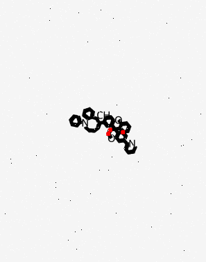 C=C1/C(c2ccc3c(c2)C2(c4ccccc4Oc4cc(-c5ccccn5)ccc42)c2ccccc2O3)=C\C=C/CN(c2ccccc2)c2ccccc21